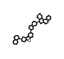 c1ccc2c(-c3ccc4oc5ccc(-c6ccc7ccc(-c8cc9ccc%10ccccc%10c9c9ccccc89)cc7c6)cc5c4c3)cccc2c1